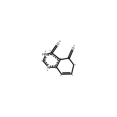 O=C1CC=Cc2n[c][nH]c(=O)c21